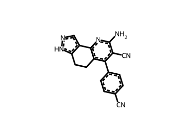 N#Cc1ccc(-c2c(C#N)c(N)nc3c2CCc2[nH]ncc2-3)cc1